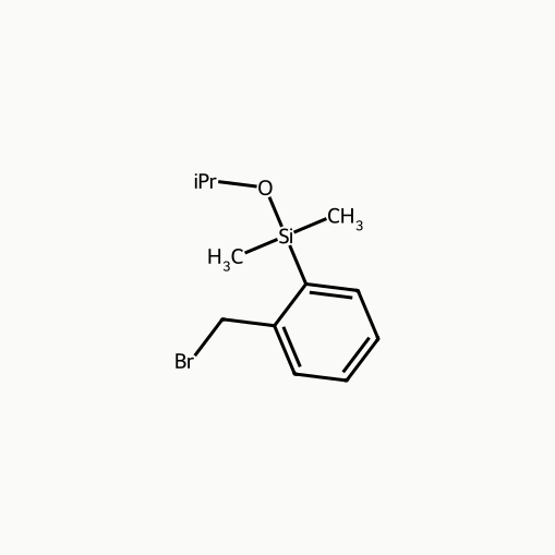 CC(C)O[Si](C)(C)c1ccccc1CBr